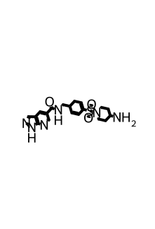 NC1CCN(S(=O)(=O)C2=CCC(CNC(=O)c3cnc4[nH]ncc4c3)C=C2)CC1